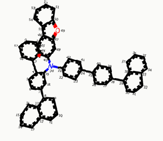 c1ccc(-c2ccc(-c3cccc4ccccc34)cc2N(c2ccc(-c3ccc(-c4cccc5ccccc45)cc3)cc2)c2ccc3c(c2)oc2ccccc23)cc1